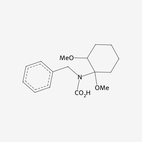 COC1CCCCC1(OC)N(Cc1ccccc1)C(=O)O